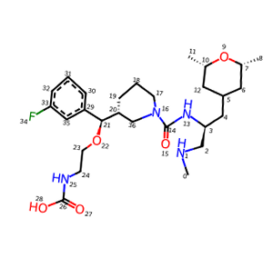 CNC[C@H](CC1C[C@@H](C)O[C@@H](C)C1)NC(=O)N1CCC[C@@H]([C@@H](OCCNC(=O)O)c2cccc(F)c2)C1